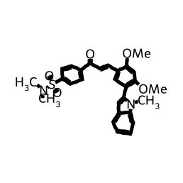 COc1cc(OC)c(-c2cc3ccccc3n2C)cc1C=CC(=O)c1ccc(S(=O)(=O)N(C)C)cc1